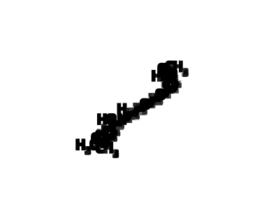 CC1(C)OCc2cc([C@H](O)CNCCCCCOCCCOCc3cccc(NS(C)(=O)=O)c3)ccc2O1